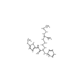 CCc1nnc(NC(=O)C(CSSCC(N)CCSC)Cc2ccccc2)s1